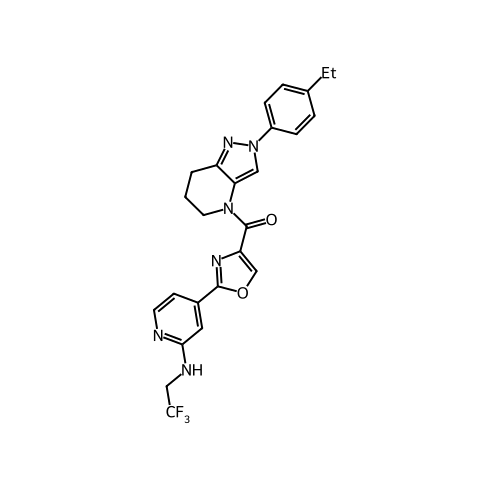 CCc1ccc(-n2cc3c(n2)CCCN3C(=O)c2coc(-c3ccnc(NCC(F)(F)F)c3)n2)cc1